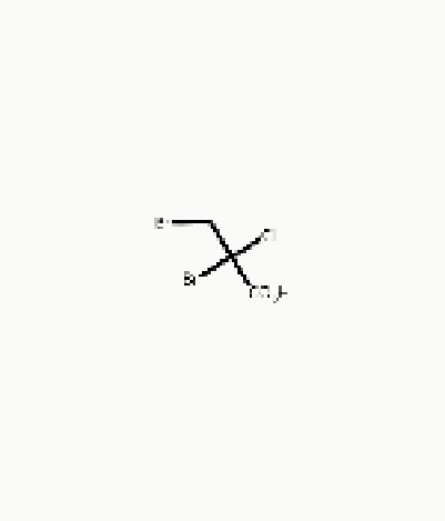 O=C(O)C(Cl)(Br)CBr